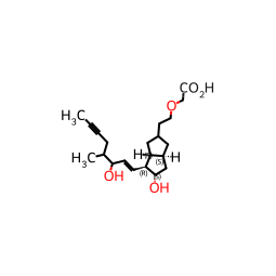 CC#CCC(C)C(O)C=C[C@H]1[C@@H]2CC(CCOCC(=O)O)C[C@H]2C[C@@H]1O